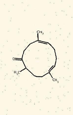 CC1=CCCC=C(C)CCC(C)C(=O)CC1